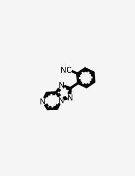 N#Cc1ccccc1-c1nc2cnccn2n1